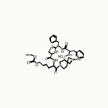 CC(=O)N1CC2(CCN(C(=O)C(CCCCNC(=O)OC(C)(C)C)NC(=O)C(CC(C)C)NC(=O)C(Cc3ccccc3)NC(=O)C(Cc3ccccc3)NC(=O)O)CC2)C1